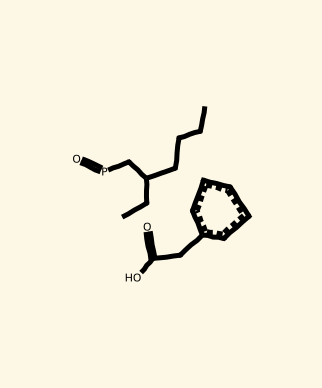 CCCCC(CC)CP=O.O=C(O)Cc1ccccc1